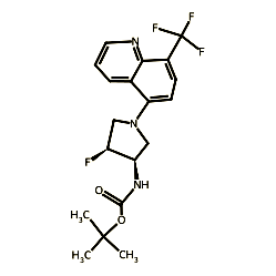 CC(C)(C)OC(=O)N[C@@H]1CN(c2ccc(C(F)(F)F)c3ncccc23)C[C@@H]1F